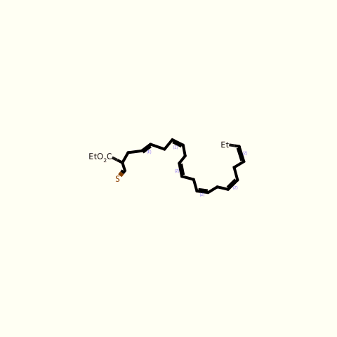 CC/C=C\C/C=C\C/C=C\C/C=C\C/C=C\C/C=C/CC(C=S)C(=O)OCC